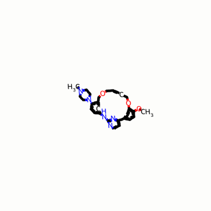 COc1ccc2cc1OCC/C=C/COCc1cc(ccc1N1CCN(C)CC1)Nc1nccc-2n1